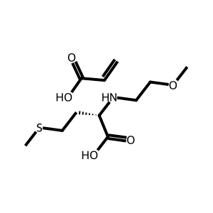 C=CC(=O)O.COCCN[C@@H](CCSC)C(=O)O